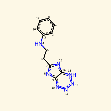 c1ccc(NCCc2nc3nnn[nH]c-3n2)cc1